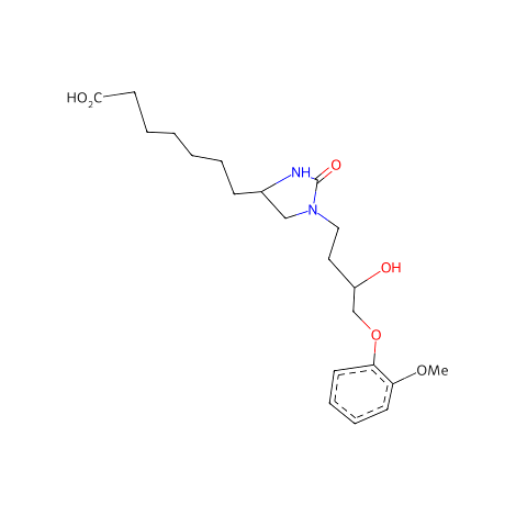 COc1ccccc1OCC(O)CCN1CC(CCCCCCC(=O)O)NC1=O